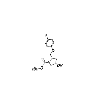 CC(C)(C)OC(=O)N1C[C@@H](O)C[C@@H]1COc1ccc(F)cc1